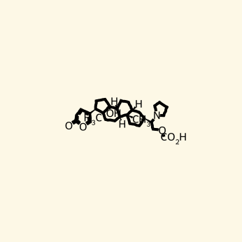 C[C@]12CC[C@H](C(COC(=O)O)N3CCCC3)C[C@H]1CC[C@@H]1[C@@H]2CC[C@]2(C)[C@@H](c3ccc(=O)oc3)CC[C@]12O